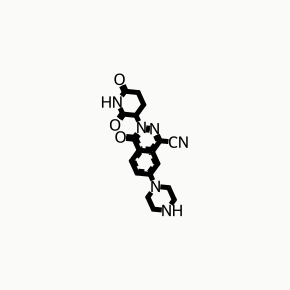 N#Cc1nn(C2CCC(=O)NC2=O)c(=O)c2ccc(N3CCNCC3)cc12